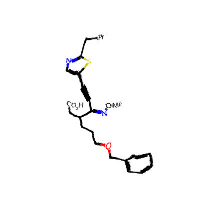 CON=C(C#Cc1cnc(CC(C)C)s1)C(CCCOCc1ccccc1)CC(=O)O